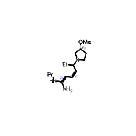 CCC(/C=C\C=C(/N)NC(C)C)N1CC[C@@H](OC)C1